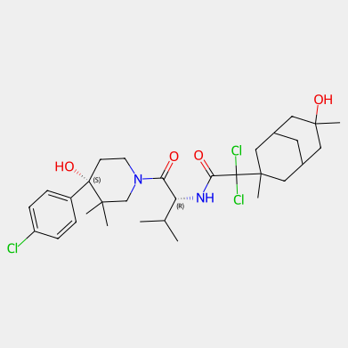 CC(C)[C@@H](NC(=O)C(Cl)(Cl)C1(C)CC2CC(CC(C)(O)C2)C1)C(=O)N1CC[C@](O)(c2ccc(Cl)cc2)C(C)(C)C1